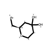 CC(C)C[C@H]1CC(O)(O)CCO1